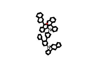 c1ccc(-c2ccc(-n3c4ccccc4c4cc5ccccc5cc43)cc2-c2ccc(N(c3ccccc3-c3cccc4ccccc34)c3ccc(-c4ccc5ccccc5c4)c4ccccc34)cc2)cc1